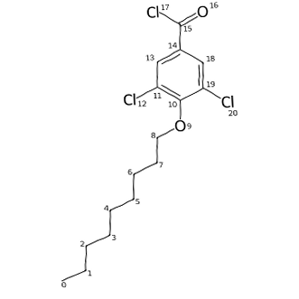 CCCCCCCCCOc1c(Cl)cc(C(=O)Cl)cc1Cl